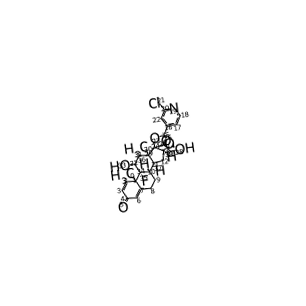 C[C@]12C=CC(=O)C=C1CC[C@H]1[C@@H]3C[C@H]4OC(c5ccnc(Cl)c5)O[C@@]4(C(=O)CO)[C@@]3(C)C[C@H](O)[C@@]12F